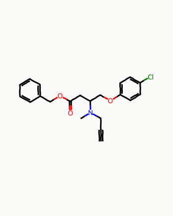 C#CCN(C)C(COc1ccc(Cl)cc1)CC(=O)OCc1ccccc1